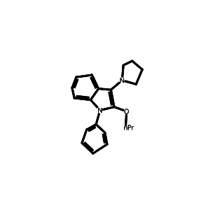 CCCOc1c(N2CCCC2)c2ccccc2n1-c1ccccc1